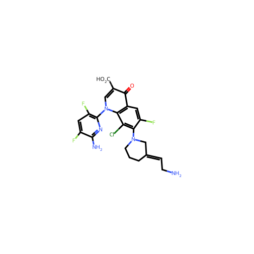 NCC=C1CCCN(c2c(F)cc3c(=O)c(C(=O)O)cn(-c4nc(N)c(F)cc4F)c3c2Cl)C1